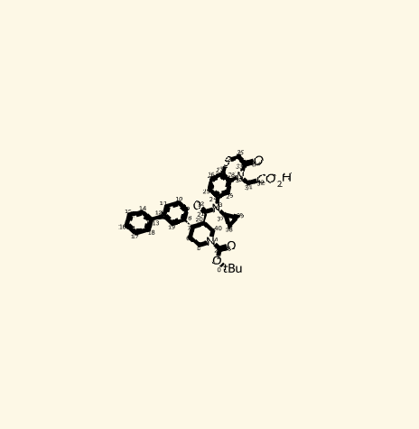 CC(C)(C)OC(=O)N1CC[C@H](c2cccc(-c3ccccc3)c2)[C@@H](C(=O)N(c2ccc3c(c2)N(CC(=O)O)C(=O)CS3)C2CC2)C1